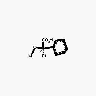 CCO[C@@](CC)(C(=O)O)c1ccccc1